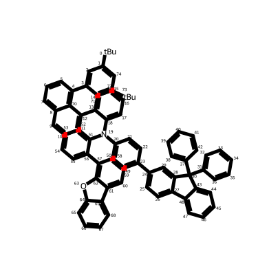 CC(C)(C)c1cc(-c2cccc3cccc(-c4ccccc4N(c4ccc(-c5ccc6c(c5)C(c5ccccc5)(c5ccccc5)c5ccccc5-6)cc4)c4ccccc4-c4cccc5c4oc4ccccc45)c23)cc(C(C)(C)C)c1